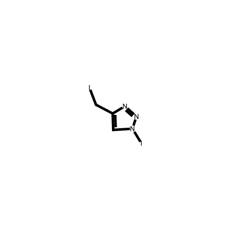 ICc1cn(I)nn1